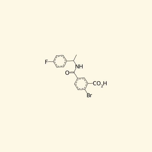 CC(NC(=O)c1ccc(Br)c(C(=O)O)c1)c1ccc(F)cc1